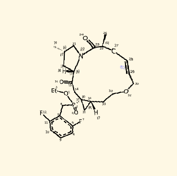 CCOP(=O)(Cc1c(F)cccc1F)[C@]12CC(=O)[C@@H]3C[C@H](C)CN3C(=O)[C@@H](C)C/C=C/COCC[C@@H]1C2